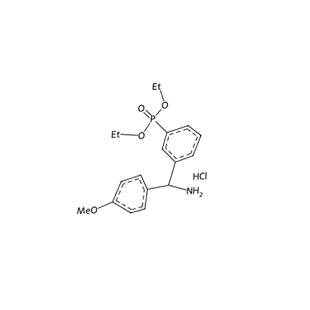 CCOP(=O)(OCC)c1cccc(C(N)c2ccc(OC)cc2)c1.Cl